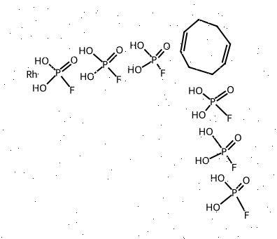 C1=CCCC=CCC1.O=P(O)(O)F.O=P(O)(O)F.O=P(O)(O)F.O=P(O)(O)F.O=P(O)(O)F.O=P(O)(O)F.[Rh]